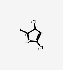 CC1SC(Cl)=CC1Cl